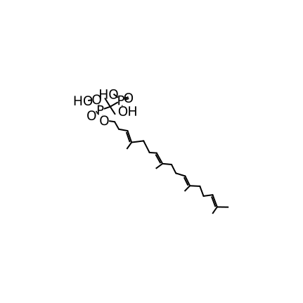 CC(C)=CCC/C(C)=C/CC/C(C)=C/CC/C(C)=C/CCOP(=O)(OO)C(C)(C)P(=O)(O)O